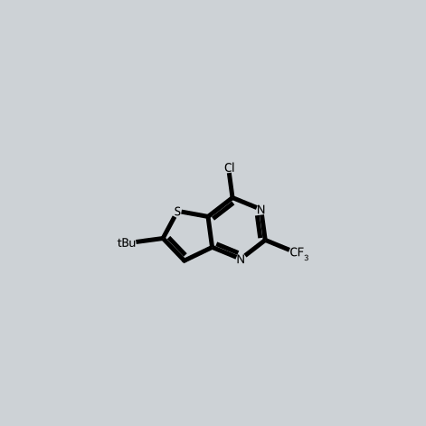 CC(C)(C)c1cc2nc(C(F)(F)F)nc(Cl)c2s1